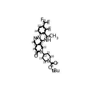 C[C@@H](Nc1nncc2cc(=O)n(C3CCN(C(=O)OC(C)(C)C)CC3)cc12)c1cccc(C(F)F)c1F